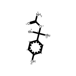 CC(C)(C)C(OC(N)=O)(c1ccc(O)cc1)C(C)(C)C